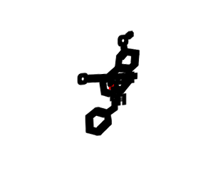 COc1ccc2c(c1)C13CCN(Cc4ccccc4)[C@H](C2)[C@]1(O)CCC(=O)C3